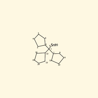 [SnH][C](C1CCCC1)(C1CCCC1)C1CCCC1